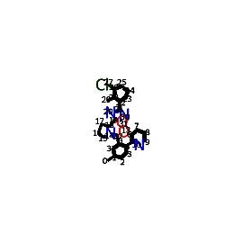 Cc1ccc(-c2ccccn2)c(C(=O)N2CCCC2c2nc(-c3cccc(Cl)c3C)no2)c1